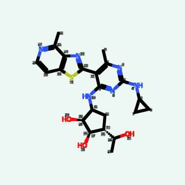 Cc1nc(NC2CC2)nc(NC2C[C@H](C(C)O)[C@@H](O)[C@H]2O)c1-c1nc2c(C)nccc2s1